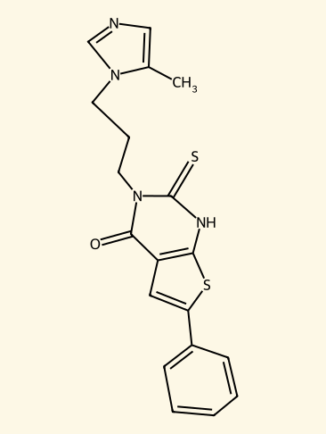 Cc1cncn1CCCn1c(=S)[nH]c2sc(-c3ccccc3)cc2c1=O